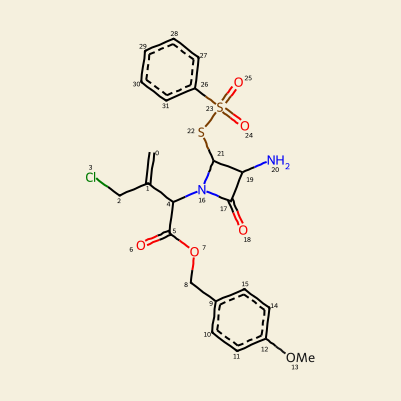 C=C(CCl)C(C(=O)OCc1ccc(OC)cc1)N1C(=O)C(N)C1SS(=O)(=O)c1ccccc1